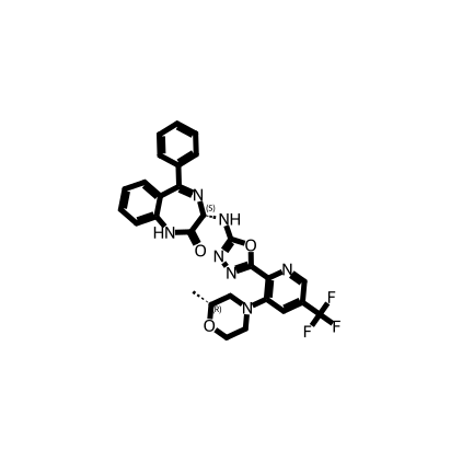 C[C@@H]1CN(c2cc(C(F)(F)F)cnc2-c2nnc(N[C@H]3N=C(c4ccccc4)c4ccccc4NC3=O)o2)CCO1